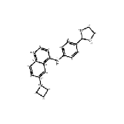 c1cc(Nc2ccc(C3OCCO3)nc2)c2cc(N3CCC3)ccc2n1